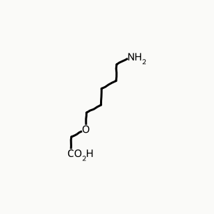 NCCCCCOCC(=O)O